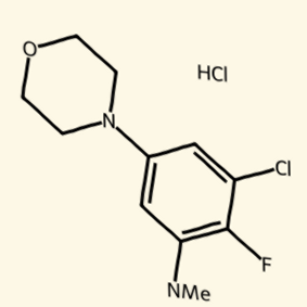 CNc1cc(N2CCOCC2)cc(Cl)c1F.Cl